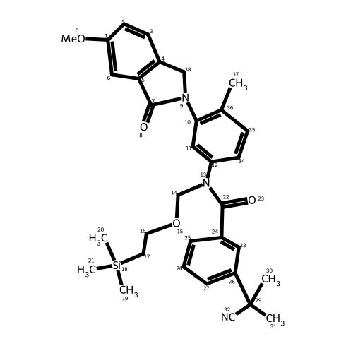 COc1ccc2c(c1)C(=O)N(c1cc(N(COCC[Si](C)(C)C)C(=O)c3cccc(C(C)(C)C#N)c3)ccc1C)C2